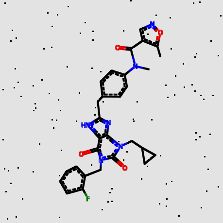 Cc1oncc1C(=O)N(C)c1ccc(Cc2nc3c([nH]2)c(=O)n(Cc2ccccc2F)c(=O)n3CC2CC2)cc1